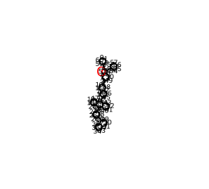 c1ccc(-c2oc3cc(-c4ccc5cc(-c6c7ccccc7c(-c7cccc(-c8cccc9ccccc89)c7)c7ccccc67)ccc5c4)ccc3c2-c2ccccc2)cc1